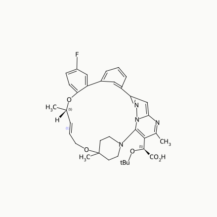 Cc1nc2cc3nn2c(c1[C@H](OC(C)(C)C)C(=O)O)N1CCC(C)(CC1)OC/C=C/[C@H](C)Oc1ccc(F)cc1-c1cccc-3c1